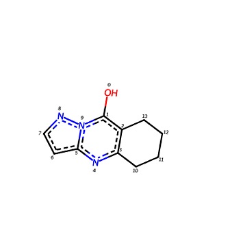 Oc1c2c(nc3ccnn13)CCCC2